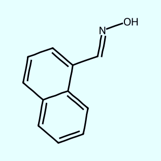 O/N=C/c1cccc2ccccc12